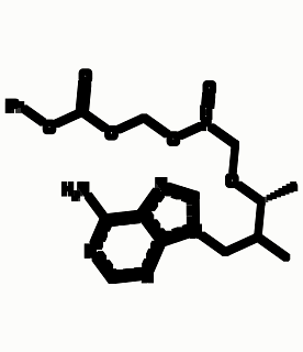 CC(C)OC(=O)OCO[PH](=O)CO[C@H](C)C(C)Cn1cnc2c(N)ncnc21